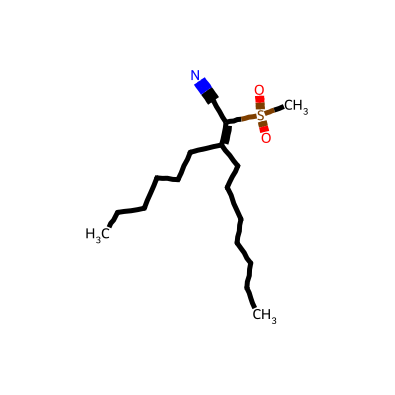 CCCCCCC/C(CCCCCC)=C(/C#N)S(C)(=O)=O